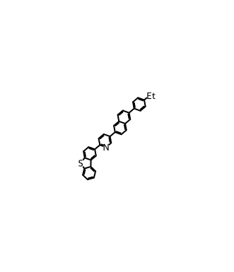 CCc1ccc(-c2ccc3cc(-c4ccc(-c5ccc6sc7ccccc7c6c5)nc4)ccc3c2)cc1